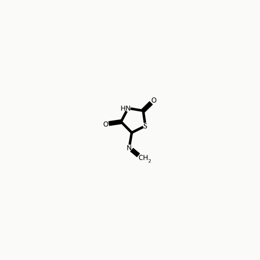 C=NC1SC(=O)NC1=O